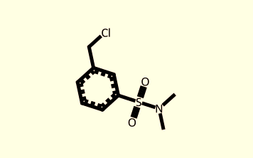 CN(C)S(=O)(=O)c1cccc(CCl)c1